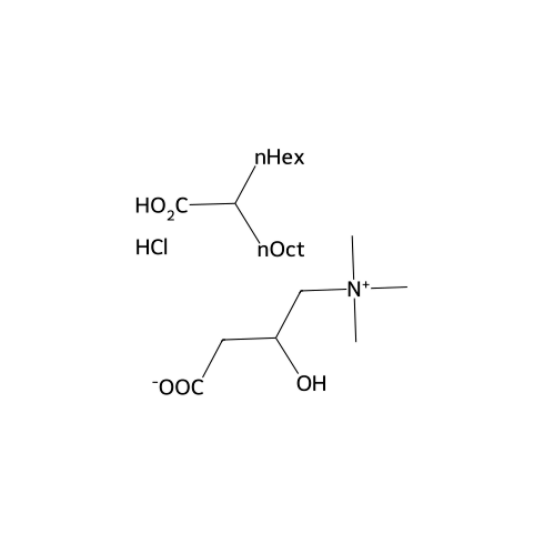 CCCCCCCCC(CCCCCC)C(=O)O.C[N+](C)(C)CC(O)CC(=O)[O-].Cl